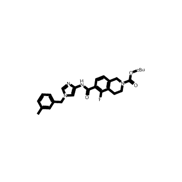 Cc1cccc(Cn2cnc(NC(=O)c3ccc4c(c3F)CCN(C(=O)OC(C)(C)C)C4)c2)c1